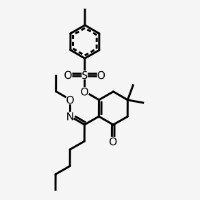 CCCCC/C(=N/OCC)C1=C(OS(=O)(=O)c2ccc(C)cc2)CC(C)(C)CC1=O